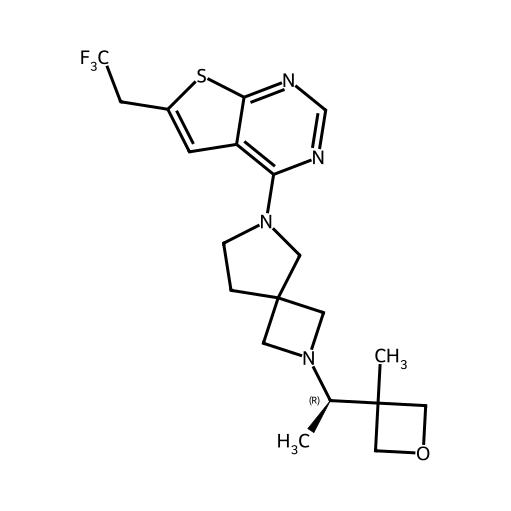 C[C@@H](N1CC2(CCN(c3ncnc4sc(CC(F)(F)F)cc34)C2)C1)C1(C)COC1